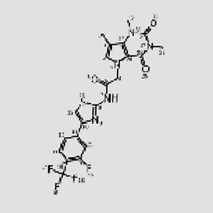 Cc1cn(CC(=O)Nc2nc(-c3ccc(C(F)(F)F)c(F)c3)cs2)c2c(=O)n(C)c(=O)n(C)c12